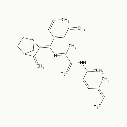 C=C/C=C(\C=C/C)C(/N=C(\C)C(=C)NC(=C)/C=C\C(C)=C/C)=C1/C(=C)C2CCN1C2